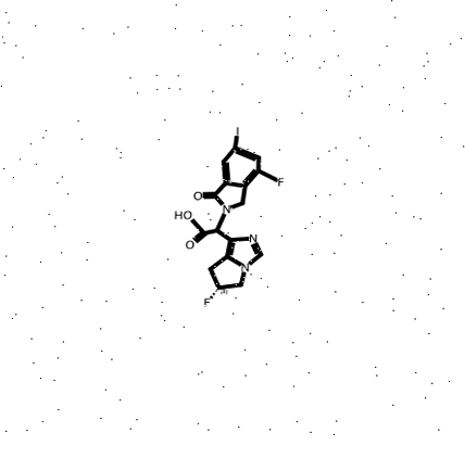 O=C(O)C(c1ncn2c1C[C@@H](F)C2)N1Cc2c(F)cc(I)cc2C1=O